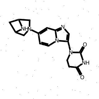 O=C1CCN(c2cnc3cc(N4CC5CC(C4)N5)ccn23)C(=O)N1